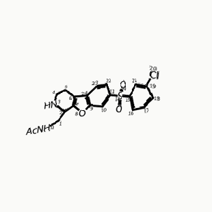 CC(=O)NCC1NCCc2c1oc1cc(S(=O)(=O)c3cccc(Cl)c3)ccc21